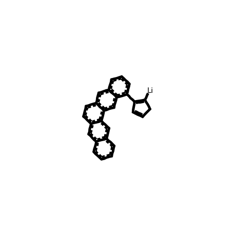 [Li][C]1=C(c2cccc3cc4ccc5cc6ccccc6cc5c4cc23)C=CC1